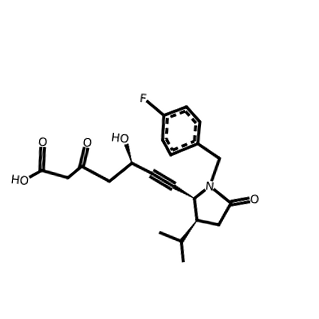 CC(C)[C@@H]1CC(=O)N(Cc2ccc(F)cc2)[C@@H]1C#C[C@H](O)CC(=O)CC(=O)O